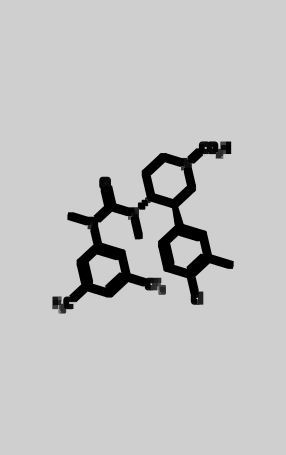 Cc1cc([C@@H]2CN(C(=O)O)CC[C@H]2N(C)C(=O)N(C)c2cc(C(F)(F)F)cc(C(F)(F)F)c2)ccc1Cl